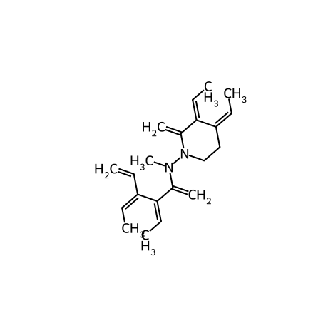 C=CC(=C/C)/C(=C\C)C(=C)N(C)N1CCC(=C/C)/C(=C\C)C1=C